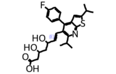 CC(C)c1cc2c(-c3ccc(F)cc3)c(/C=C/C(O)CC(O)CC(=O)O)c(C(C)C)nc2s1